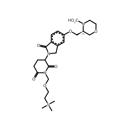 C[Si](C)(C)CCOCN1C(=O)CCC(N2Cc3cc(OC[C@@H]4COCCN4C(=O)O)ccc3C2=O)C1=O